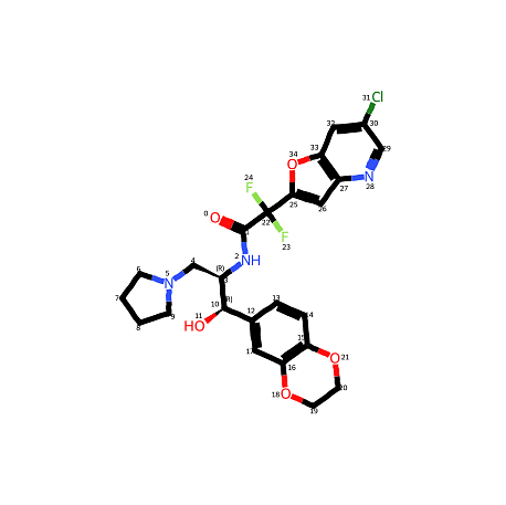 O=C(N[C@H](CN1CCCC1)[C@H](O)c1ccc2c(c1)OCCO2)C(F)(F)c1cc2ncc(Cl)cc2o1